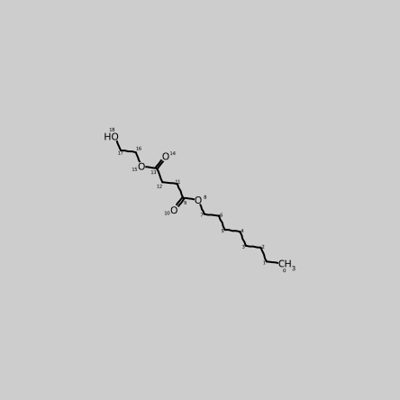 CCCCCCCCOC(=O)CCC(=O)OCCO